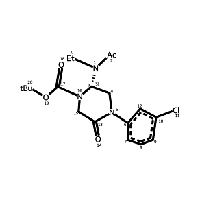 CCN(C(C)=O)[C@@H]1CN(c2cccc(Cl)c2)C(=O)CN1C(=O)OC(C)(C)C